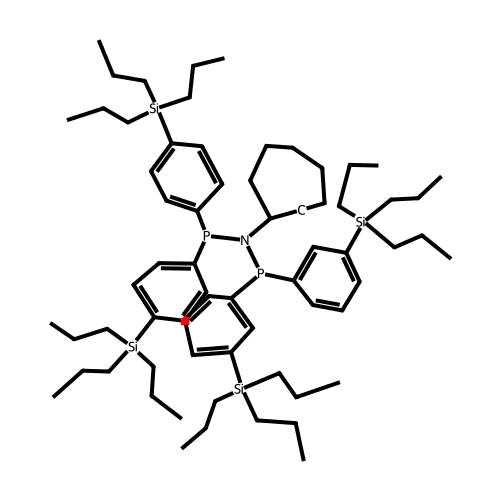 CCC[Si](CCC)(CCC)c1ccc(P(c2ccc([Si](CCC)(CCC)CCC)cc2)N(C2CCCCCC2)P(c2cccc([Si](CCC)(CCC)CCC)c2)c2cccc([Si](CCC)(CCC)CCC)c2)cc1